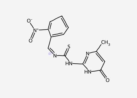 Cc1cc(=O)[nH]c(NC(=S)/N=C\c2ccccc2[N+](=O)[O-])n1